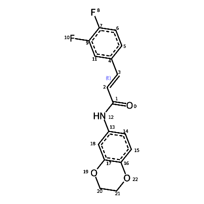 O=C(/C=C/c1ccc(F)c(F)c1)Nc1ccc2c(c1)OCCO2